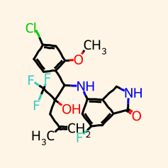 C=C(C)CC(O)(C(Nc1cc(F)cc2c1CNC2=O)c1ccc(Cl)cc1OC)C(F)(F)F